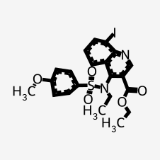 CCOC(=O)c1cnc2c(I)cccc2c1N(CC)S(=O)(=O)c1ccc(OC)cc1